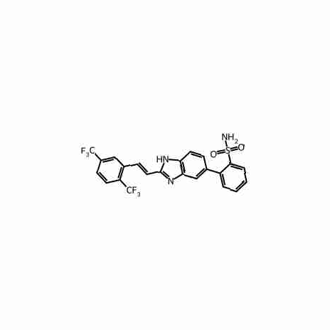 NS(=O)(=O)c1ccccc1-c1ccc2[nH]c(/C=C/c3cc(C(F)(F)F)ccc3C(F)(F)F)nc2c1